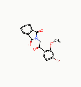 COc1cc(Br)ccc1C(=O)CN1C(=O)c2ccccc2C1=O